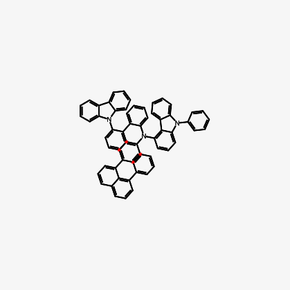 c1ccc(-c2cccc3cccc(-c4ccc(N(c5ccccc5-c5ccccc5-n5c6ccccc6c6ccccc65)c5cccc6c5c5ccccc5n6-c5ccccc5)cc4)c23)cc1